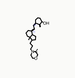 C=C1/C(=C\C=C2/CCCC3(C)C(CCCN4CCOC[C@@H]4C)CCC23)CCCC1O